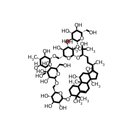 C[C@@H]1[C@@H](O)[C@H](OC[C@H]2O[C@@H](O[C@H](CC[C@@H](C)C3CC[C@@]4(C)C5CC=C6C(CC[C@H](O[C@@H]7O[C@H](CO[C@@H]8O[C@H](CO)[C@@H](O)[C@H](O)[C@H]8O)[C@@H](O)[C@H](O)[C@H]7O)C6(C)C)[C@]5(C)[C@H](O)C[C@]34C)C(C)(C)O)[C@H](O[C@H]3O[C@@H](CO)[C@H](O)[C@@H](O)[C@@H]3O)[C@@H](O)[C@@H]2O)O[C@H](CO)[C@H]1O